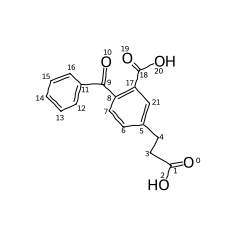 O=C(O)CCc1ccc(C(=O)c2ccccc2)c(C(=O)O)c1